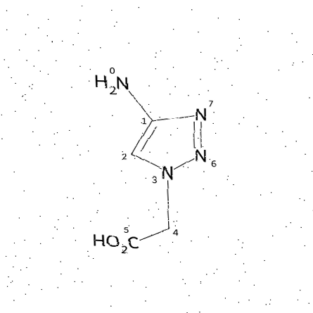 Nc1cn(CC(=O)O)nn1